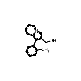 Cc1ccccc1-c1c(CO)cn2ccccc12